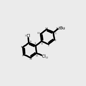 CC(C)(C)c1ccc(-c2c(Cl)cccc2Cl)cc1